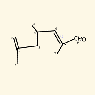 C=C(C)CC(C)/C=C(\C)C=O